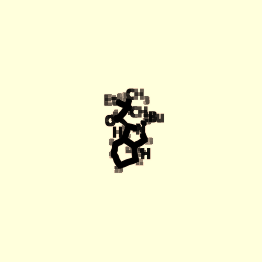 CCC(C)(C)C(=O)[C@@H]1[C@@H]2CCCC[C@@H]2CN1C(C)(C)C